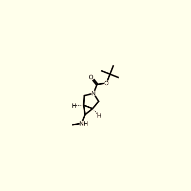 CNC1[C@H]2CN(C(=O)OC(C)(C)C)C[C@@H]12